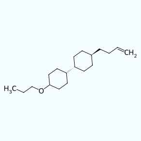 C=CCC[C@H]1CC[C@H](C2CCC(OCCC)CC2)CC1